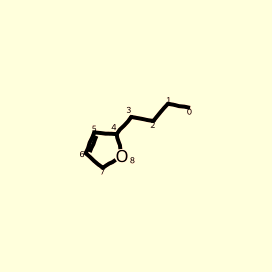 CCCCC1C=CCO1